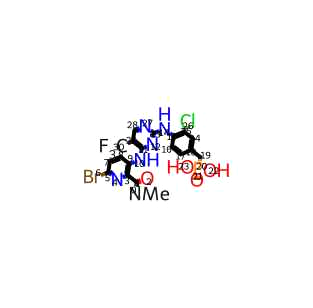 CNC(=O)c1nc(Br)ccc1Nc1nc(Nc2ccc(CP(=O)(O)O)cc2Cl)ncc1C(F)(F)F